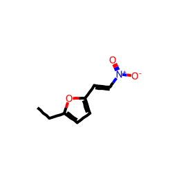 CCc1ccc(/C=C/[N+](=O)[O-])o1